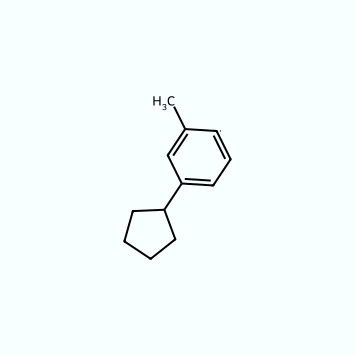 Cc1[c]ccc(C2CCCC2)c1